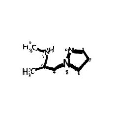 CNC(C)CN1CCC=N1